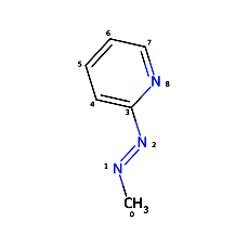 CN=Nc1ccccn1